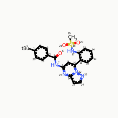 CC(C)(C)c1ccc(C(=O)Nc2cc(-c3ccccc3NS(C)(=O)=O)n3nccc3n2)cc1